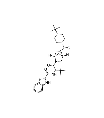 CC(C)(C)C(NC(=O)c1cc2ccccc2[nH]1)C(=O)N1C[C@@H]2C[C@H]1CN2C(=O)[C@H]1CC[C@H](C(C)(C)C)CC1